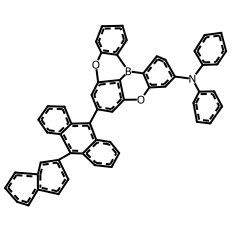 c1ccc(N(c2ccccc2)c2ccc3c(c2)Oc2cc(-c4c5ccccc5c(-c5ccc6ccccc6c5)c5ccccc45)cc4c2B3c2ccccc2O4)cc1